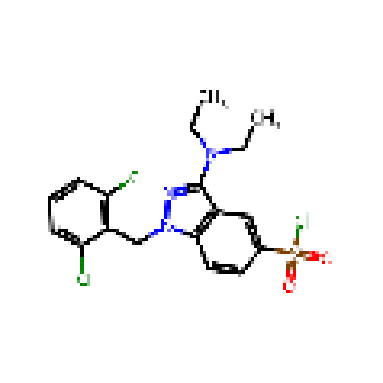 CCN(CC)c1nn(Cc2c(Cl)cccc2Cl)c2ccc(S(=O)(=O)Cl)cc12